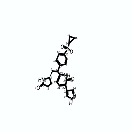 O=C1CC[C@H](CC(c2ccc(S(=O)(=O)C3CC3)cc2)c2ccc(-c3cn[nH]c3)c(=O)[nH]2)N1